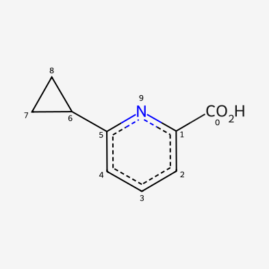 O=C(O)c1cccc(C2CC2)n1